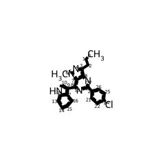 CCCc1nn(C)c2c(-c3c[nH]c4ccccc34)nc(-c3ccc(Cl)cc3)nc12